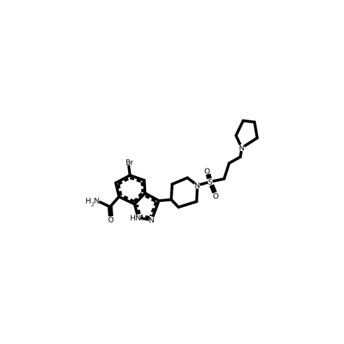 NC(=O)c1cc(Br)cc2c(C3CCN(S(=O)(=O)CCCN4CCCC4)CC3)n[nH]c12